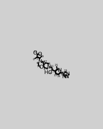 CC1=C(N2CCOC3(CCN(CC(O)c4ccc(-n5cnnn5)nc4C)CC3)C2)COC1=O